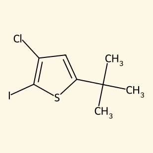 CC(C)(C)c1cc(Cl)c(I)s1